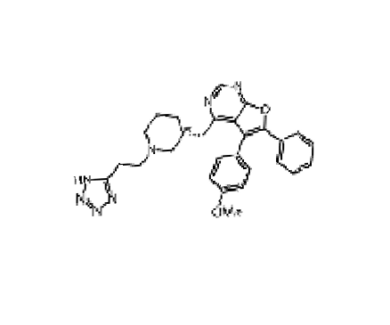 COc1ccc(-c2c(-c3ccccc3)oc3ncnc(C[C@H]4CCCN(CCc5nnn[nH]5)C4)c23)cc1